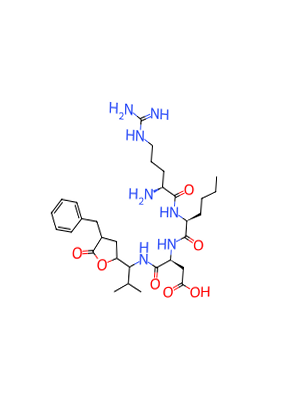 CCCC[C@H](NC(=O)[C@@H](N)CCCNC(=N)N)C(=O)N[C@@H](CC(=O)O)C(=O)NC(C(C)C)C1CC(Cc2ccccc2)C(=O)O1